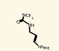 CCCCCC=CCNC(=O)NC(F)(F)F